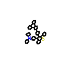 c1ccc(N(c2ccccc2)c2ccc(-c3c(-c4ccc(-c5ccc6c7ccccc7c7ccccc7c6c5)cc4)c4c5ccccc5sc4c4ccccc34)cc2)cc1